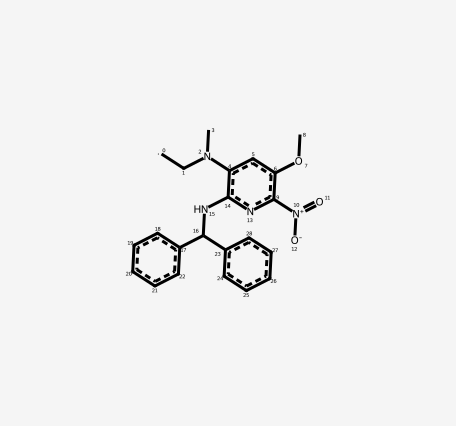 [CH2]CN(C)c1cc(OC)c([N+](=O)[O-])nc1NC(c1ccccc1)c1ccccc1